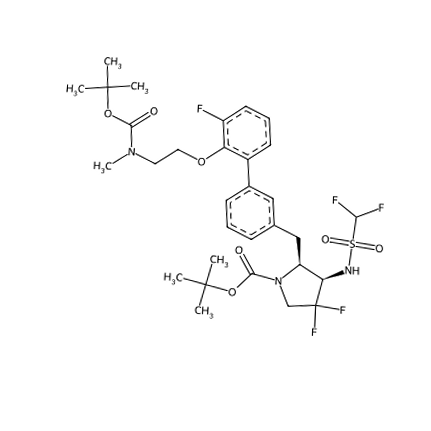 CN(CCOc1c(F)cccc1-c1cccc(C[C@H]2[C@@H](NS(=O)(=O)C(F)F)C(F)(F)CN2C(=O)OC(C)(C)C)c1)C(=O)OC(C)(C)C